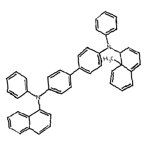 CC12C=CC=CC1=CC=CC2N(c1ccccc1)c1ccc(-c2ccc(N(c3ccccc3)c3cccc4ccccc34)cc2)cc1